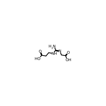 NC(=NCC(=O)O)NCCC(=O)O